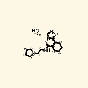 Cl.Cl.c1nnc2c3c(c(NCCN4CCCC4)nn12)CCCC3